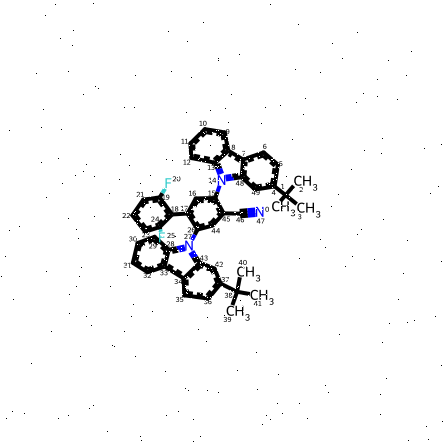 CC(C)(C)c1ccc2c3ccccc3n(-c3cc(-c4c(F)cccc4F)c(-n4c5ccccc5c5ccc(C(C)(C)C)cc54)cc3C#N)c2c1